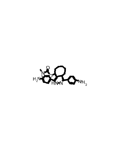 CNC(=O)OC1CCCCCC2C(c3ccc(N)cc3)=NNC(c3ccc(N)cc3)=C12